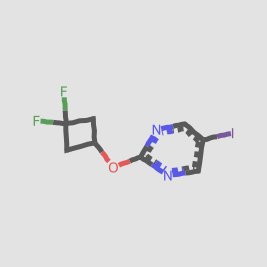 FC1(F)CC(Oc2ncc(I)cn2)C1